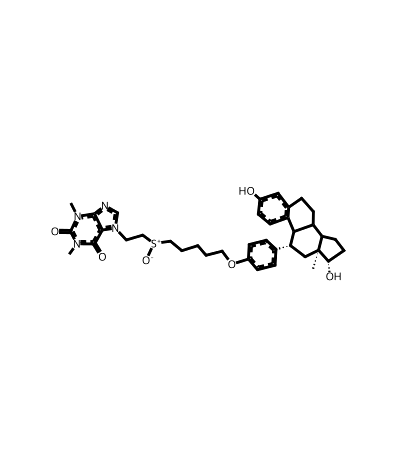 Cn1c(=O)c2c(ncn2CC[S+]([O-])CCCCCOc2ccc([C@H]3C[C@@]4(C)C(CC[C@@H]4O)C4CCc5cc(O)ccc5C43)cc2)n(C)c1=O